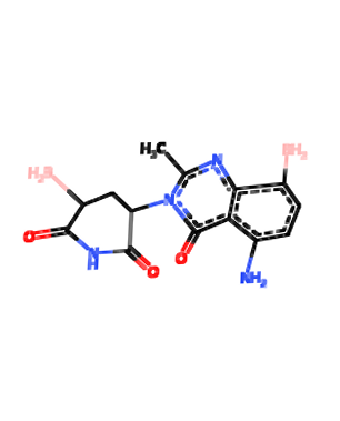 Bc1ccc(N)c2c(=O)n(C3CC(B)C(=O)NC3=O)c(C)nc12